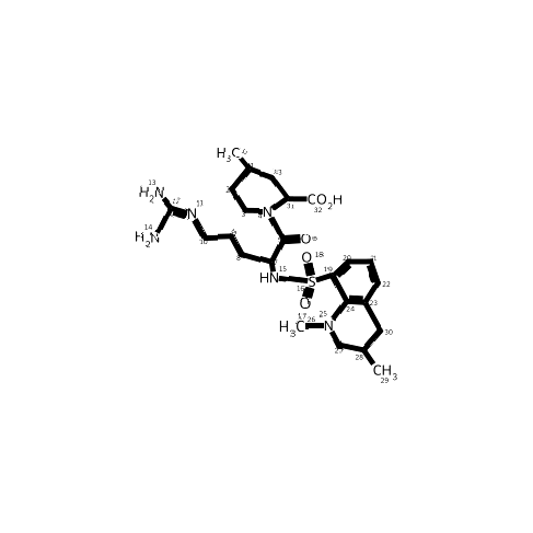 CC1CCN(C(=O)C(CCCN=C(N)N)NS(=O)(=O)c2cccc3c2N(C)CC(C)C3)C(C(=O)O)C1